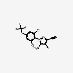 N#Cc1nn(-c2c(Cl)cc(SC(F)(F)F)cc2Cl)c(N)c1I